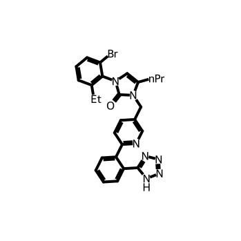 CCCc1cn(-c2c(Br)cccc2CC)c(=O)n1Cc1ccc(-c2ccccc2-c2nnn[nH]2)nc1